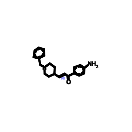 Nc1ccc(C(=O)/C=C/C2CCN(Cc3ccccc3)CC2)cc1